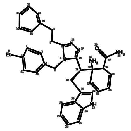 CCc1ccc(Cn2c(CCc3ccccc3)nnc2[C@H](Cc2c[nH]c3ccccc23)C2(N)C=CC=CC2C(N)=O)cc1